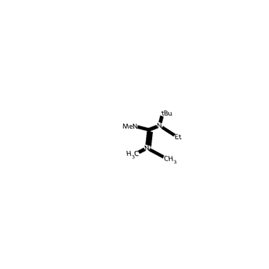 CCN(C(NC)=[N+](C)C)C(C)(C)C